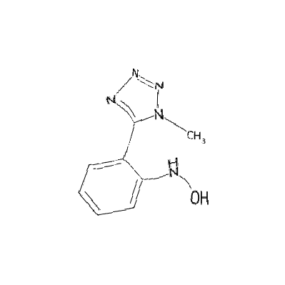 Cn1nnnc1-c1ccccc1NO